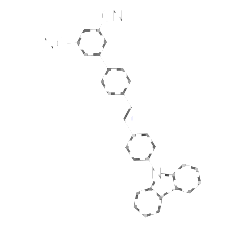 N#Cc1cc(C#N)cc(-c2ccc(/C=C/c3ccc(-n4c5ccccc5c5ccccc54)cc3)cc2)c1